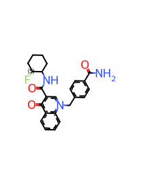 NC(=O)c1ccc(Cn2cc(C(=O)NC3CCCC[C@@H]3F)c(=O)c3ccccc32)cc1